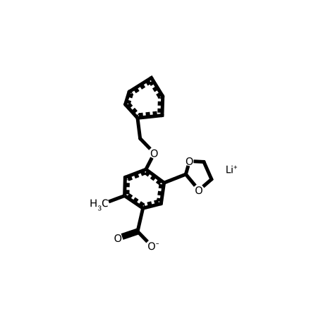 Cc1cc(OCc2ccccc2)c(C2OCCO2)cc1C(=O)[O-].[Li+]